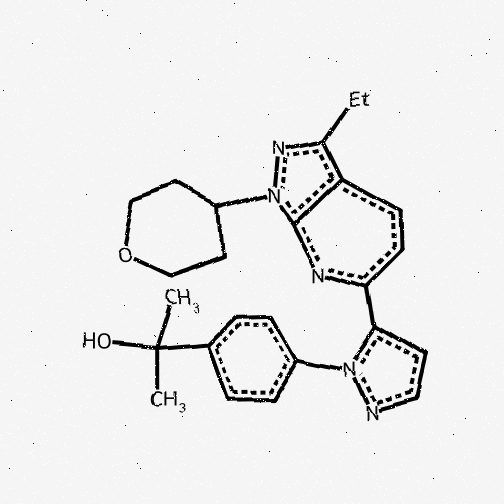 CCc1nn(C2CCOCC2)c2nc(-c3ccnn3-c3ccc(C(C)(C)O)cc3)ccc12